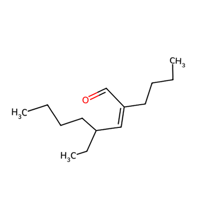 CCCCC(C=O)=CC(CC)CCCC